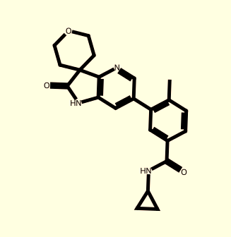 Cc1ccc(C(=O)NC2CC2)cc1-c1cnc2c(c1)NC(=O)C21CCOCC1